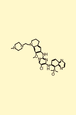 COc1cc2c(cc1Nc1ncc(Cl)c(Nc3ccc4nccnc4c3P(C)(C)=O)n1)CCCN2CCN1CCN(C)CC1